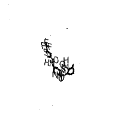 COc1ncc(NC(=O)c2csc(C(F)(F)F)c2)cc1S(=O)(=O)Nc1c(C)cccc1C